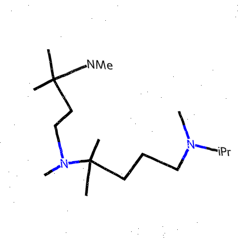 CNC(C)(C)CCN(C)C(C)(C)CCCN(C)C(C)C